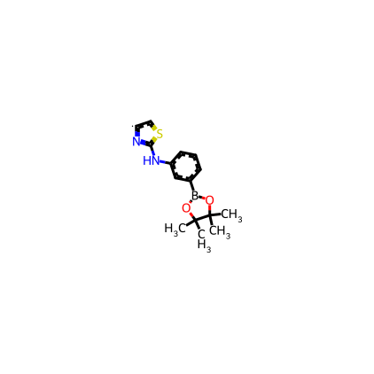 CC1(C)OB(c2cccc(Nc3n[c]cs3)c2)OC1(C)C